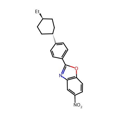 CC[C@H]1CC[C@H](c2ccc(-c3nc4cc([N+](=O)[O-])ccc4o3)cc2)CC1